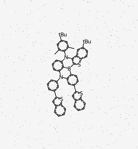 Cc1cc(C(C)(C)C)cc(C)c1N1c2cccc3c2B(c2ccc(-c4cc5ccccc5s4)cc2N3c2cccc(-c3cc4ccccc4s3)c2)c2sc3ccc(C(C)(C)C)cc3c21